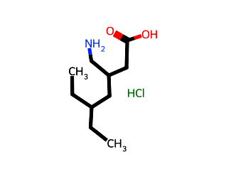 CCC(CC)CC(CN)CC(=O)O.Cl